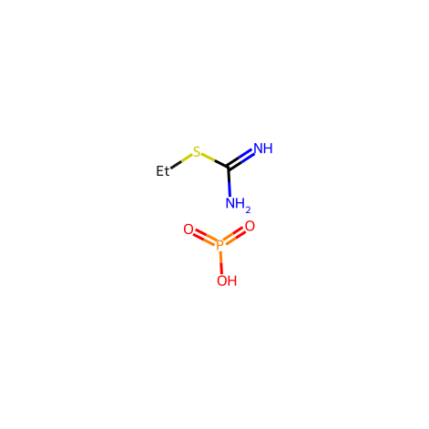 CCSC(=N)N.O=P(=O)O